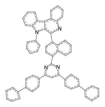 c1ccc(-c2ccc(-c3cc(-c4ccc(-c5ccccc5)cc4)nc(-c4ccc(-c5nc6ccccc6c6c7ccccc7n(-c7ccccc7)c56)c5ccccc45)n3)cc2)cc1